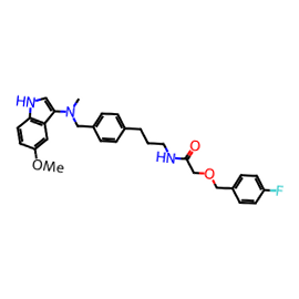 COc1ccc2[nH]cc(N(C)Cc3ccc(CCCNC(=O)COCc4ccc(F)cc4)cc3)c2c1